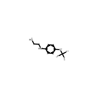 OCCNc1ccc(OC(F)(F)F)cc1